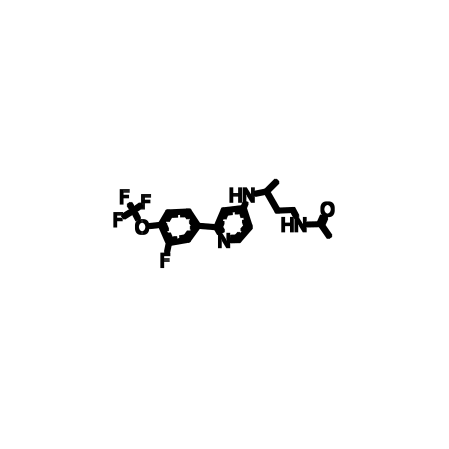 CC(=O)NCCC(C)Nc1ccnc(-c2ccc(OC(F)(F)F)c(F)c2)c1